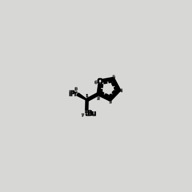 CC(C)[C@@H](c1ccco1)C(C)(C)C